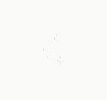 c1cc(-c2ccc3ccccc3c2)cc(-c2c3ccccc3c(-c3cccc(-c4cc5cccc6oc7cccc4c7c56)c3)c3ccccc23)c1